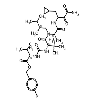 CC(C)[C@H](C)CN(C(=O)[C@@H](NC(=O)N[C@H](C(=O)OCc1ccc(F)cc1)C(C)C)C(C)(C)C)[C@@H](C)C(=O)NC(CC1CC1)C(=O)C(N)=O